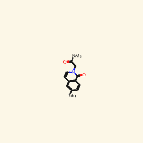 CNC(=O)Cn1ccc2cc(C(C)(C)C)ccc2c1=O